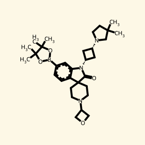 CC1(C)CCN([C@H]2C[C@@H](N3C(=O)C4(CCN(C5COC5)CC4)c4ccc(B5OC(C)(C)C(C)(C)O5)cc43)C2)C1